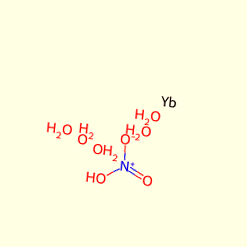 O.O.O.O.O.O=[N+]([O-])O.[Yb]